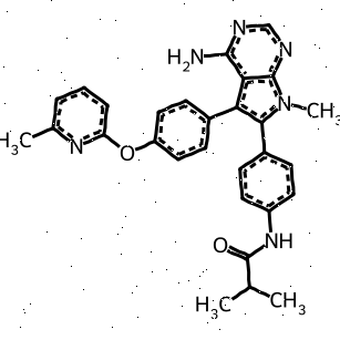 Cc1cccc(Oc2ccc(-c3c(-c4ccc(NC(=O)C(C)C)cc4)n(C)c4ncnc(N)c34)cc2)n1